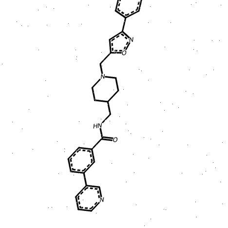 O=C(NCC1CCN(Cc2cc(-c3ccccc3)no2)CC1)c1cccc(-c2cccnc2)c1